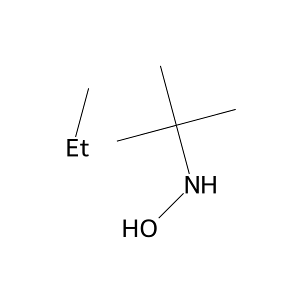 CC(C)(C)NO.CCC